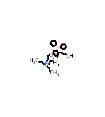 CCCC[N+](CCCC)(CCCC)CCCC.CCCCc1ccccc1B(c1ccccc1)c1ccccc1